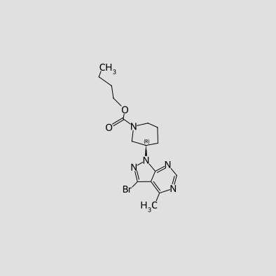 CCCCOC(=O)N1CCC[C@@H](n2nc(Br)c3c(C)ncnc32)C1